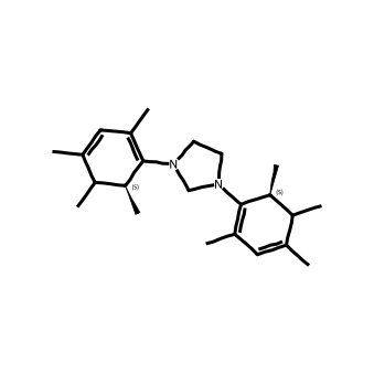 CC1=CC(C)=C(N2CCN(C3=C(C)C=C(C)C(C)[C@@H]3C)C2)[C@@H](C)C1C